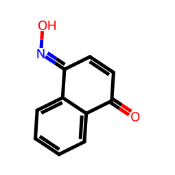 O=C1C=CC(=NO)c2ccccc21